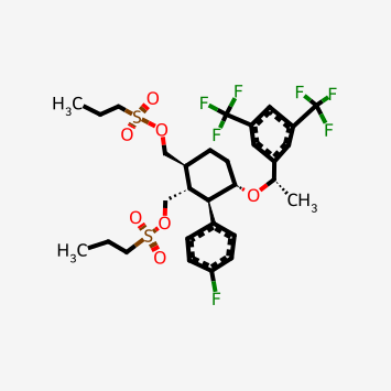 CCCS(=O)(=O)OC[C@H]1CC[C@H](O[C@@H](C)c2cc(C(F)(F)F)cc(C(F)(F)F)c2)[C@@H](c2ccc(F)cc2)[C@@H]1COS(=O)(=O)CCC